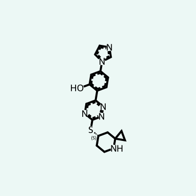 Oc1cc(-n2ccnc2)ccc1-c1cnc(S[C@H]2CCNC3(CC3)C2)nn1